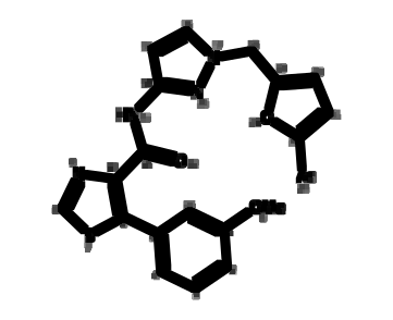 COc1cccc(-c2scnc2C(=O)Nc2ccn(Cc3ccc(C(C)=O)o3)n2)c1